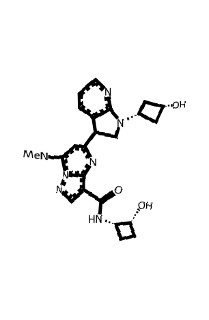 CNc1cc(C2CN([C@H]3C[C@@H](O)C3)c3ncccc32)nc2c(C(=O)N[C@H]3CC[C@H]3O)cnn12